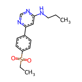 CCCNc1cc(-c2ccc(S(=O)(=O)CC)cc2)ncn1